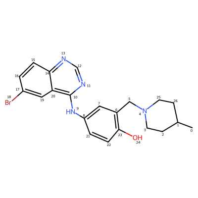 CC1CCN(Cc2cc(Nc3ncnc4ccc(Br)cc34)ccc2O)CC1